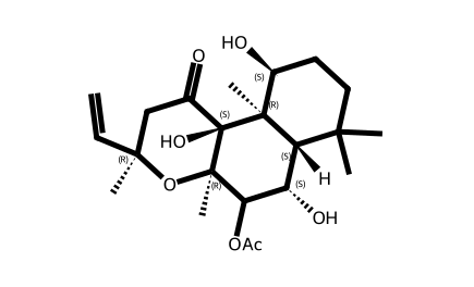 C=C[C@@]1(C)CC(=O)[C@]2(O)[C@@]3(C)[C@@H](O)CCC(C)(C)[C@@H]3[C@H](O)C(OC(C)=O)[C@@]2(C)O1